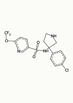 O=S(=O)(NC1(c2ccc(Cl)cc2)CCNC1)c1ccc(OC(F)(F)F)nc1